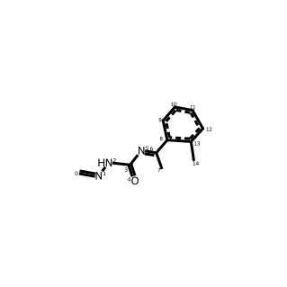 C=NNC(=O)/N=C(\C)c1ccccc1C